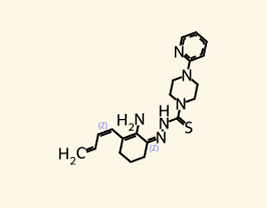 C=C/C=C\C1=C(N)C(=N\NC(=S)N2CCN(c3ccccn3)CC2)/CCC1